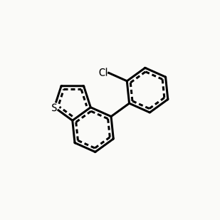 Clc1ccccc1-c1cccc2sccc12